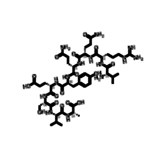 CC(C)[C@H](N)C(=O)N[C@@H](CCCNC(=N)N)C(=O)N[C@@H](CCC(N)=O)C(=O)N[C@@H](CCC(N)=O)C(=O)N[C@@H](Cc1ccc(O)cc1)C(=O)N[C@@H](CCC(=O)O)C(=O)N[C@@H](CO)C(=O)N[C@H](C(=O)N[C@@H](C)C(=O)O)C(C)C